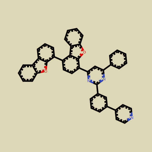 c1ccc(-c2cc(-c3ccc(-c4cccc5c4oc4ccccc45)c4c3oc3ccccc34)nc(-c3cccc(-c4ccncc4)c3)n2)cc1